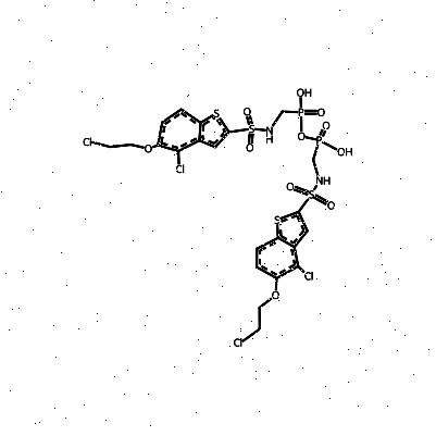 O=P(O)(CNS(=O)(=O)c1cc2c(Cl)c(OCCCl)ccc2s1)OP(=O)(O)CNS(=O)(=O)c1cc2c(Cl)c(OCCCl)ccc2s1